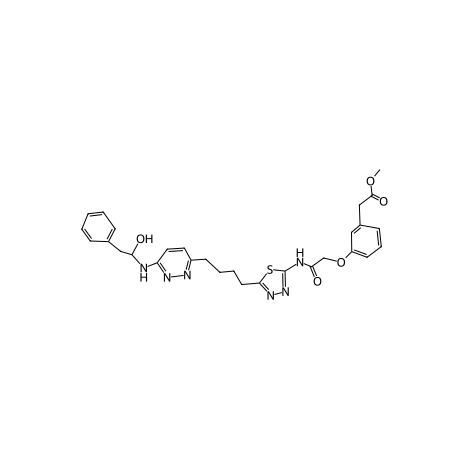 COC(=O)Cc1cccc(OCC(=O)Nc2nnc(CCCCc3ccc(NC(O)Cc4ccccc4)nn3)s2)c1